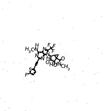 CNC(=O)C12CC1C(n1c(C(F)(F)F)nc3c(NC)nc(C#Cc4ccc(F)s4)nc31)[C@H](O)[C@@H]2O